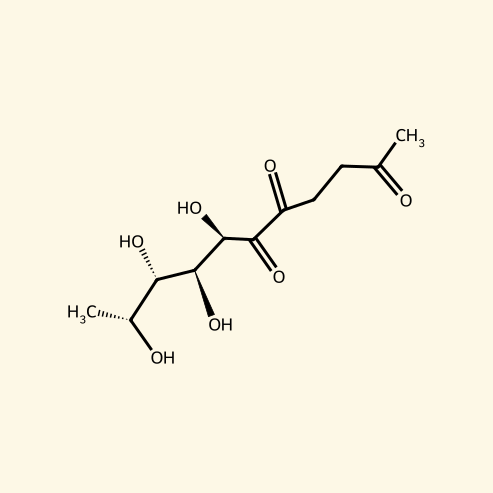 CC(=O)CCC(=O)C(=O)[C@H](O)[C@@H](O)[C@@H](O)[C@@H](C)O